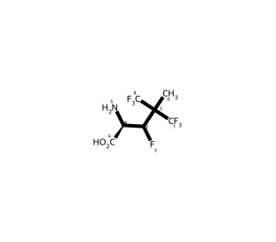 CC(C(F)[C@H](N)C(=O)O)(C(F)(F)F)C(F)(F)F